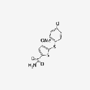 COc1cc(S(N)(=O)=O)sc1Sc1ccc(Cl)cc1